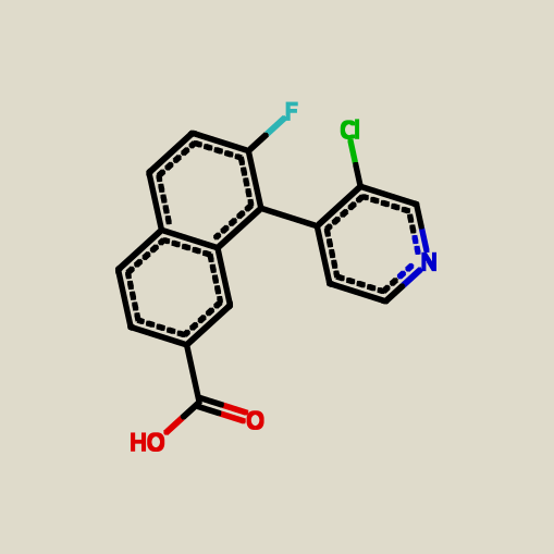 O=C(O)c1ccc2ccc(F)c(-c3ccncc3Cl)c2c1